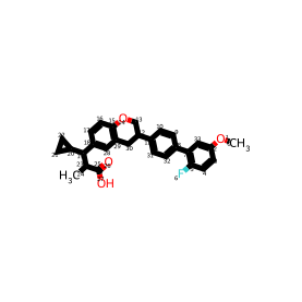 COc1ccc(F)c(-c2ccc(C3COc4ccc(C(C5CC5)C(C)C(=O)O)cc4C3)cc2)c1